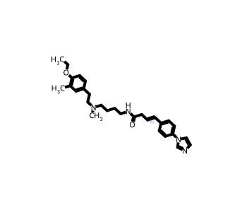 CCOc1ccc(CCN(C)CCCCNC(=O)C/C=C/c2ccc(-n3ccnc3)cc2)cc1C